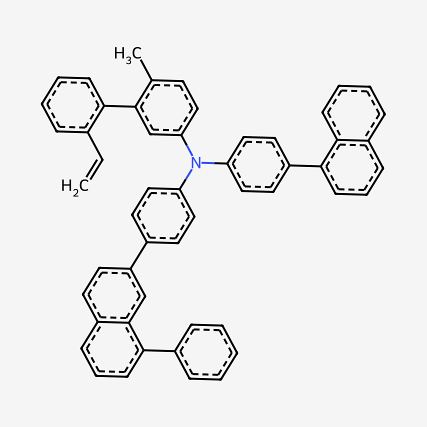 C=Cc1ccccc1-c1cc(N(c2ccc(-c3ccc4cccc(-c5ccccc5)c4c3)cc2)c2ccc(-c3cccc4ccccc34)cc2)ccc1C